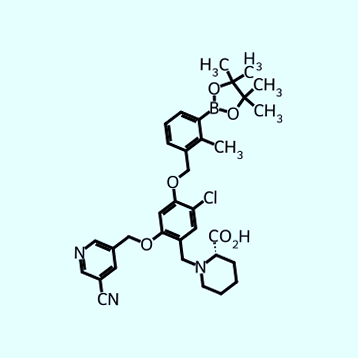 Cc1c(COc2cc(OCc3cncc(C#N)c3)c(CN3CCCC[C@H]3C(=O)O)cc2Cl)cccc1B1OC(C)(C)C(C)(C)O1